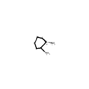 NC1CCCC[C@@H]1N